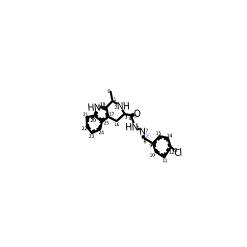 CC1NC(C(=O)N/N=C/c2ccc(Cl)cc2)Cc2c1[nH]c1ccccc21